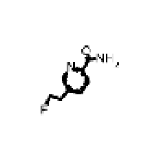 NC(=O)c1ccc(CCF)cn1